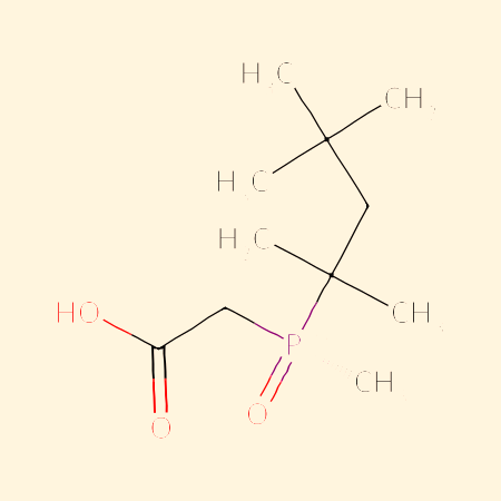 CC(C)(C)CC(C)(C)[P@@](C)(=O)CC(=O)O